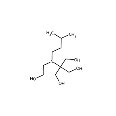 CC(C)CCN(CCO)C(CO)(CO)CO